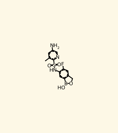 Cc1cc(N)cnc1S(=O)(=O)Nc1cc2c(cc1F)COB2O